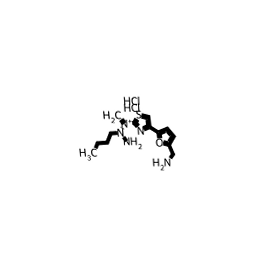 C=[N+](c1nc(-c2ccc(CN)o2)cs1)N(N)CCCC.Cl.Cl